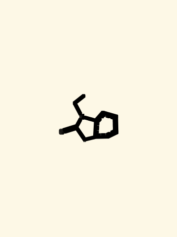 CCN1C(=O)[CH]c2ccccc21